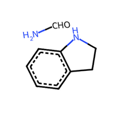 NC=O.c1ccc2c(c1)CCN2